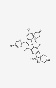 CC[C@](O)(c1cc(F)c2c(c1)C(=O)N(Cc1ncc(Cl)cn1)[C@@]2(O[C@H]1CCC(=O)C1)c1ccc(Cl)cc1)C1(F)CCNCC1